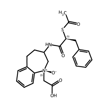 CC(=O)S[C@@H](Cc1ccccc1)C(=O)NC1CCc2ccccc2[N@@+]([O-])(CC(=O)O)C1